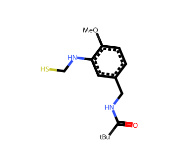 COc1ccc(CNC(=O)C(C)(C)C)cc1NCS